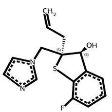 C=CC[C@@]1(Cn2ccnc2)Sc2c(F)cccc2[C@@H]1O